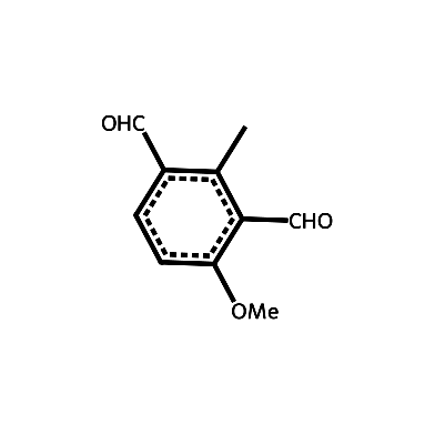 COc1ccc(C=O)c(C)c1C=O